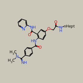 CCCCCCCNC(=O)COc1ccc(NC(=O)c2ccc(C(=N)N(C)C)cc2)c(C(=O)Nc2ccccn2)c1